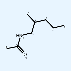 CCCC(C)CNC(C)=O